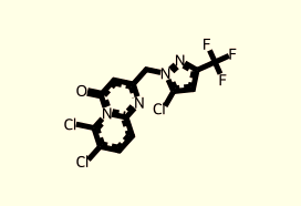 O=c1cc(Cn2nc(C(F)(F)F)cc2Cl)nc2ccc(Cl)c(Cl)n12